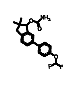 CC1(C)Cc2ccc(-c3ccc(OC(F)F)cc3)cc2C1OC(N)=O